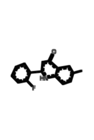 Cc1ccc2[nH]c(-c3ccccc3F)cc(=O)c2c1